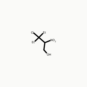 CCC(Cl)(CC)C(CO)[N+](=O)[O-]